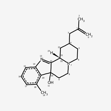 C=C(C)CC1CCN2CCC3(O)C(=Nc4cccc(C)c43)[C@@H]2C1